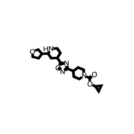 O=C(OC1CC1)N1CCC(c2noc(C3CCNC(C4CCOC4)C3)n2)CC1